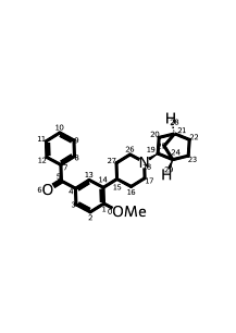 COc1ccc(C(=O)c2ccccc2)cc1C1CCN([C@H]2C[C@H]3CC[C@H]2C3)CC1